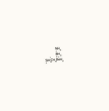 B.C.N.[BeH2].[SiH4]